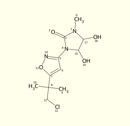 CN1C(=O)N(c2cc(C(C)(C)CCl)on2)C(O)C1O